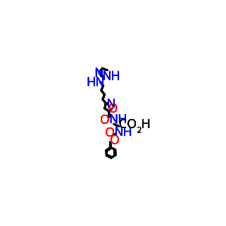 O=C(NC(CNC(=O)C1CC(CCCCNC2=NCCN2)=NO1)C(=O)O)OCc1ccccc1